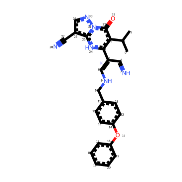 CC(C)c1c(/C(C=N)=C/NCc2ccc(Oc3ccccc3)cc2)[nH]c2c(C#N)cnn2c1=O